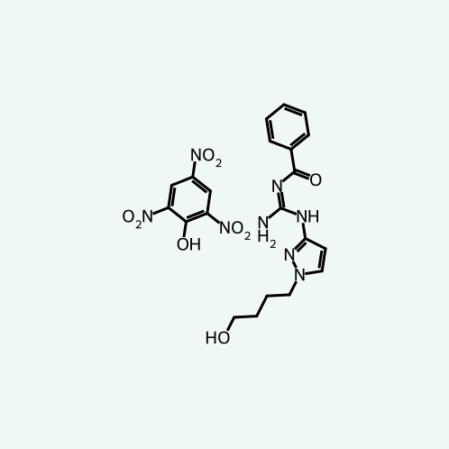 N/C(=N/C(=O)c1ccccc1)Nc1ccn(CCCCO)n1.O=[N+]([O-])c1cc([N+](=O)[O-])c(O)c([N+](=O)[O-])c1